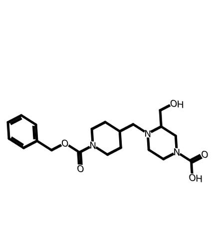 O=C(O)N1CCN(CC2CCN(C(=O)OCc3ccccc3)CC2)C(CO)C1